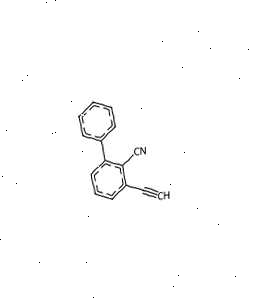 C#Cc1cccc(-c2ccccc2)c1C#N